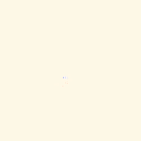 [2H]NCC(OP(=O)(O)OC[C@H](O)CO)(C(=O)CCCCCCCCCCCCCCCCC)C(=O)CCCCCCCCCCCCCCCCC